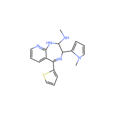 CNC1Nc2ncccc2C(c2cccs2)=NC1c1cccn1C